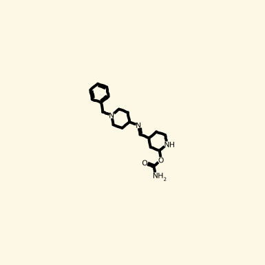 NC(=O)OC1CC(C=NC2CCN(Cc3ccccc3)CC2)CCN1